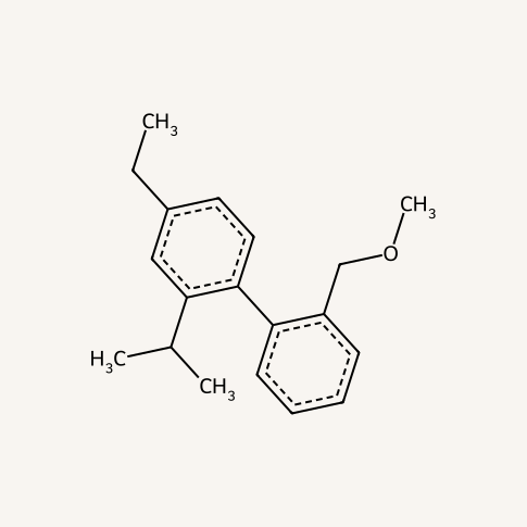 CCc1ccc(-c2ccccc2COC)c(C(C)C)c1